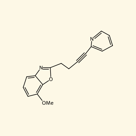 COc1cccc2nc(CCC#Cc3ccccn3)oc12